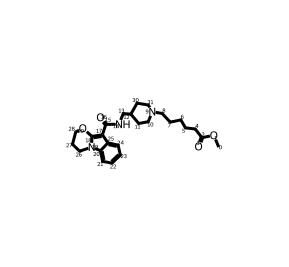 COC(=O)CCCCCN1CCC(CNC(=O)c2c3n(c4ccccc24)CCCO3)CC1